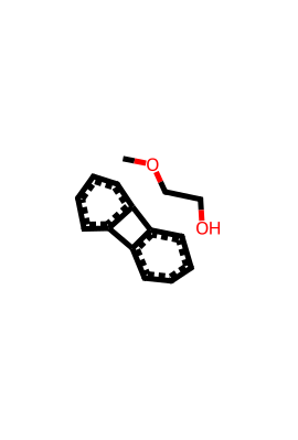 COCCO.c1ccc2c(c1)-c1ccccc1-2